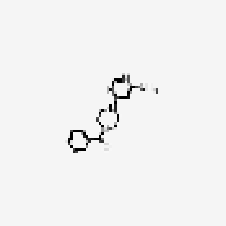 Cc1cc(N2CCN(C(=O)c3ccccc3)CC2)ncn1